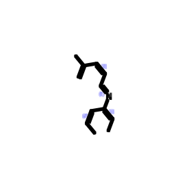 C=C(C)\C=C/C=N/C(/C=C\C)=C/C